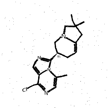 Cc1cnc(Cl)c2cnc([C@@H]3CC=C4CC(C)(C)CN4C3)n12